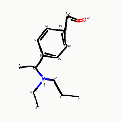 CCCN(CC)C(C)c1ccc(C=O)cc1